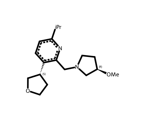 CO[C@@H]1CCN(Cc2nc(C(C)C)ccc2[C@@H]2CCOC2)C1